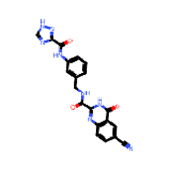 N#Cc1ccc2nc(C(=O)NCc3cccc(NC(=O)c4nc[nH]n4)c3)[nH]c(=O)c2c1